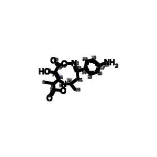 CC1C(=O)ON2/C1=C(/O)C(=O)O/N=C(/c1ccc(N)cc1)CC2C